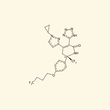 O=C1N[C@@](c2ccc(OCCCC(F)(F)F)cc2)(C(F)(F)F)CC(c2ccn(C3CC3)n2)=C1c1nnn[nH]1